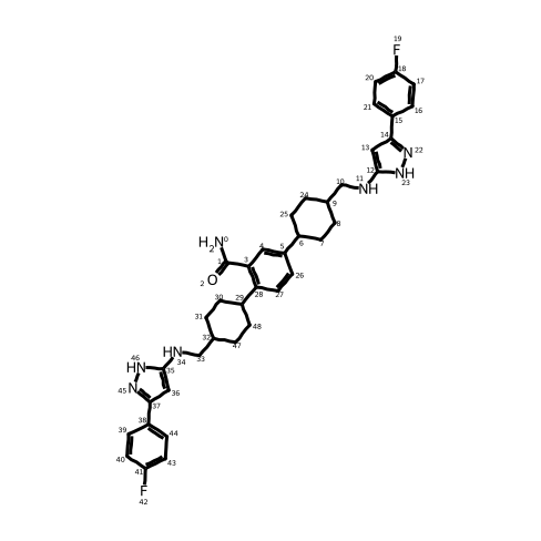 NC(=O)c1cc(C2CCC(CNc3cc(-c4ccc(F)cc4)n[nH]3)CC2)ccc1C1CCC(CNc2cc(-c3ccc(F)cc3)n[nH]2)CC1